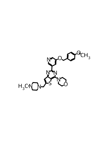 COc1ccc(COc2cncc(-c3nc(N4CCOCC4)c4sc(CN5CCN(C)CC5)cc4n3)c2)cc1